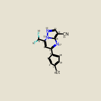 CCc1ccc(-c2cc(C(F)F)n3ncc(C#N)c3n2)cc1